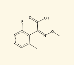 CON=C(C(=O)O)c1c(C)cccc1F